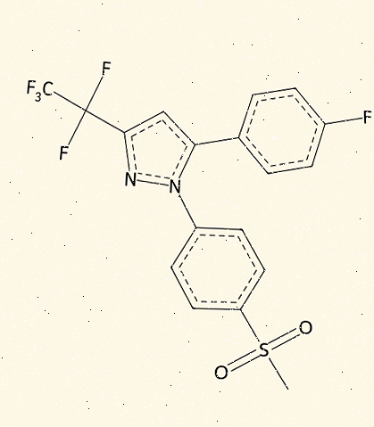 CS(=O)(=O)c1ccc(-n2nc(C(F)(F)C(F)(F)F)cc2-c2ccc(F)cc2)cc1